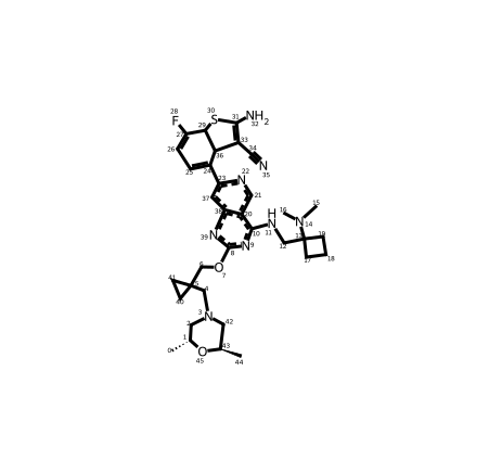 C[C@@H]1CN(CC2(COc3nc(NCC4(N(C)C)CCC4)c4cnc(C5=CC=C(F)C6SC(N)=C(C#N)C56)cc4n3)CC2)C[C@@H](C)O1